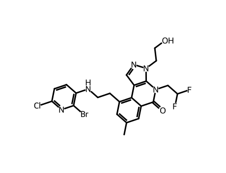 Cc1cc(CCNc2ccc(Cl)nc2Br)c2c(c1)c(=O)n(CC(F)F)c1c2cnn1CCO